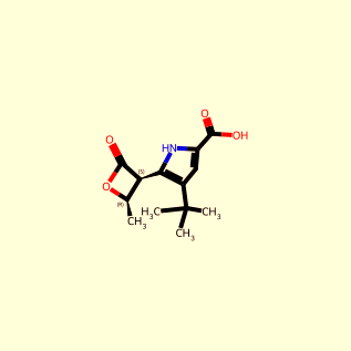 C[C@H]1OC(=O)[C@H]1c1[nH]c(C(=O)O)cc1C(C)(C)C